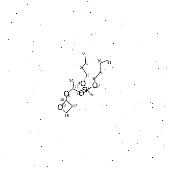 CCCCO[Si](C)(OCCCC)OC(C)OC1CCO1